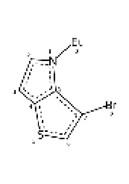 CCn1ccc2scc(Br)c21